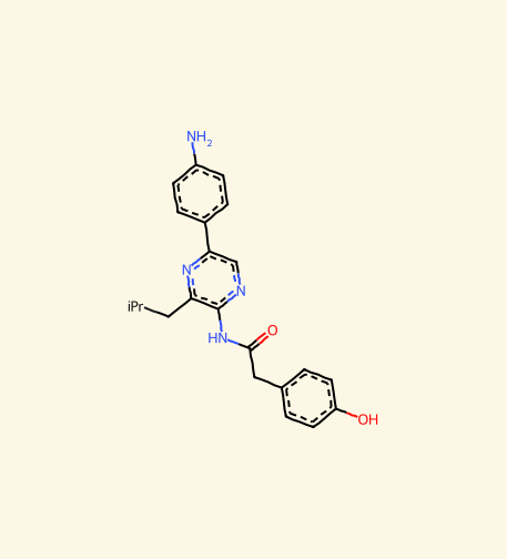 CC(C)Cc1nc(-c2ccc(N)cc2)cnc1NC(=O)Cc1ccc(O)cc1